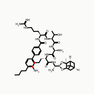 CCCCc1ccc(-c2ccc(C(=O)N[C@@H](CCCNC(=N)N)C(=O)N[C@H](C(=O)N[C@@H](N)C(=O)N[C@@H](CCCCN)C(=O)N[C@@H](N)B3OC4C[C@@H]5C[C@@H](C5(C)C)[C@]4(C)O3)C(C)O)cc2)cc1